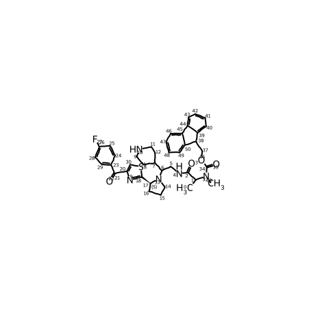 CC(C(=O)NCC(C1CCNCC1)N1CCC[C@H]1c1nc(C(=O)c2ccc(F)cc2)cs1)N(C)C(=O)OCC1c2ccccc2-c2ccccc21